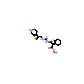 CC(C)(C)OC(=O)c1c(NC(=O)NCc2csc3c2CCNC3)sc2c1CCCC2